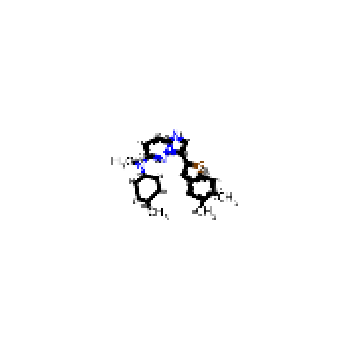 Cc1cc2cc(-c3cnc4ccc(N(C)C5CCC(C)CC5)nn34)sc2cc1C